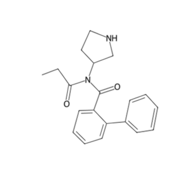 CCC(=O)N(C(=O)c1ccccc1-c1ccccc1)C1CCNC1